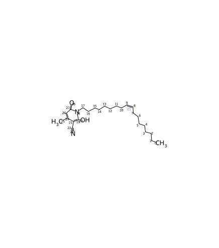 CCCCCCCC/C=C\CCCCCCCCn1c(O)c(C#N)c(C)cc1=O